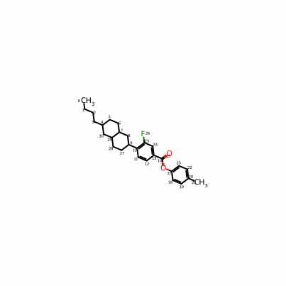 CCCCC1CCC2CC(c3ccc(C(=O)Oc4ccc(C)cc4)cc3F)CCC2C1